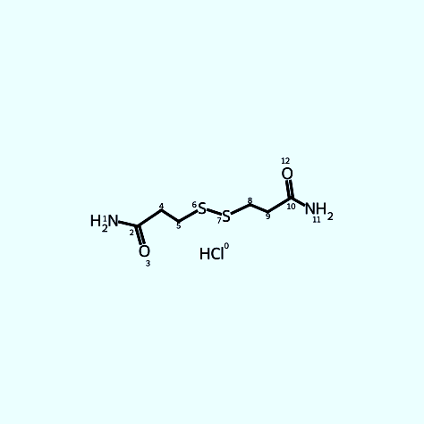 Cl.NC(=O)CCSSCCC(N)=O